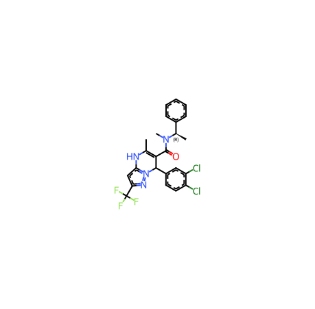 CC1=C(C(=O)N(C)[C@H](C)c2ccccc2)C(c2ccc(Cl)c(Cl)c2)n2nc(C(F)(F)F)cc2N1